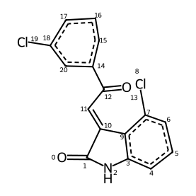 O=C1Nc2cccc(Cl)c2/C1=C\C(=O)c1cccc(Cl)c1